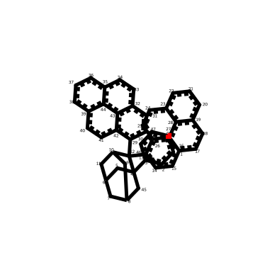 c1ccc(C23CC4CC(CC(C4)C2(c2ccc4ccc5cccc6ccc2c4c56)c2ccc4ccc5cccc6ccc2c4c56)C3)cc1